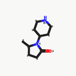 CC1CCC(=O)N1C1CCNCC1